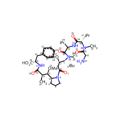 CC[C@H](C)[C@@H]([C@@H](CC(=O)N1CCC[C@H]1[C@H](OC)[C@@H](C)C(=O)N[C@@H](Cc1ccccc1)C(=O)O)OC)N(C)C(=O)C(NC(=O)[C@H](C(C)C)N(C)C(=O)CN)C(C)C